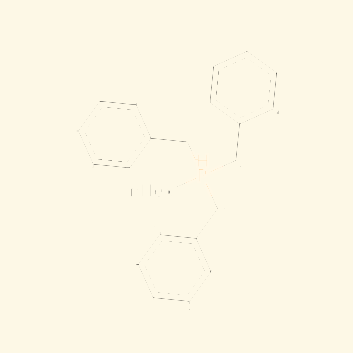 CCCCCC[PH](Cc1ccccc1)(Cc1ccccc1)Cc1ccccc1